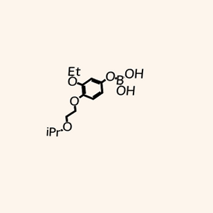 CCOc1cc(OB(O)O)ccc1OCCOC(C)C